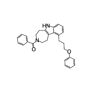 O=C(c1ccccc1)N1CCc2[nH]c3cccc(CCCOc4ccccc4)c3c2CC1